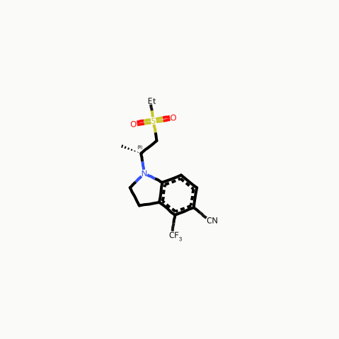 CCS(=O)(=O)C[C@@H](C)N1CCc2c1ccc(C#N)c2C(F)(F)F